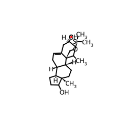 CC1CC(O)CC2=CC[C@@H]3[C@@H](CC[C@]4(C)C(O)CC[C@@H]34)[C@]21CO[Si](C)(C)C